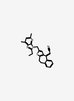 CCc1nc2c(C)cc(C)nc2n1Cc1cc2c(s1)CCc1ccccc1/C2=C/C#N